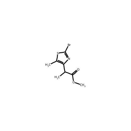 COC(=O)C(C)c1nc(Br)sc1C